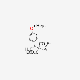 CCCCCCCOc1ccc(C(C)C(C(=O)OCC)(C(=O)OCC)C(C)C)cc1